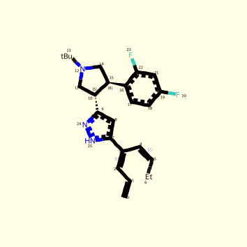 C=C/C=C(\C=C/CC)c1cc([C@@H]2CN(C(C)(C)C)C[C@H]2c2ccc(F)cc2F)n[nH]1